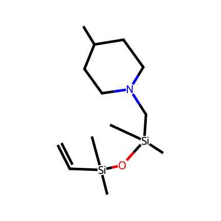 C=C[Si](C)(C)O[Si](C)(C)CN1CCC(C)CC1